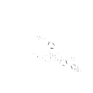 COc1cccc(CN2C(=O)N(c3ncc(-c4cn[nH]c4)c(OC)n3)CC23CCN(CC(C)(C)O)CC3)c1